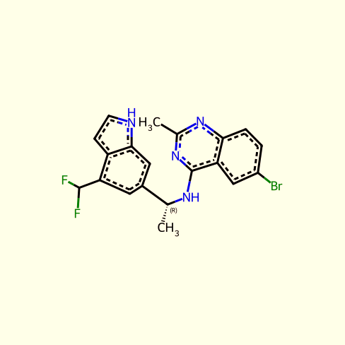 Cc1nc(N[C@H](C)c2cc(C(F)F)c3cc[nH]c3c2)c2cc(Br)ccc2n1